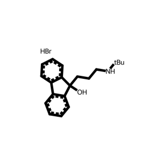 Br.CC(C)(C)NCCCC1(O)c2ccccc2-c2ccccc21